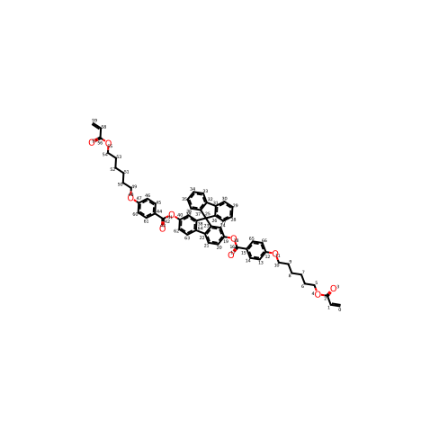 C=CC(=O)OCCCCCCOc1ccc(C(=O)Oc2ccc3c(c2)C2(c4ccccc4-c4ccccc42)c2cc(OC(=O)c4ccc(OCCCCCCOC(=O)C=C)cc4)ccc2-3)cc1